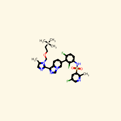 Cc1ncc(F)cc1S(=O)(=O)Nc1ccc(F)c(-c2ccc3c(-c4ncc(C)n4COCC[Si](C)(C)C)ncn3c2)c1F